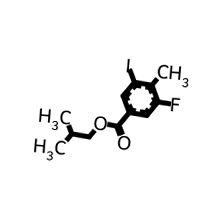 Cc1c(F)cc(C(=O)OCC(C)C)cc1I